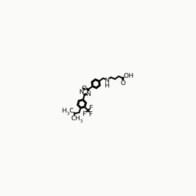 CC(C)Cc1ccc(-c2noc(-c3ccc(CNCCCC(=O)O)cc3)n2)cc1C(F)(F)F